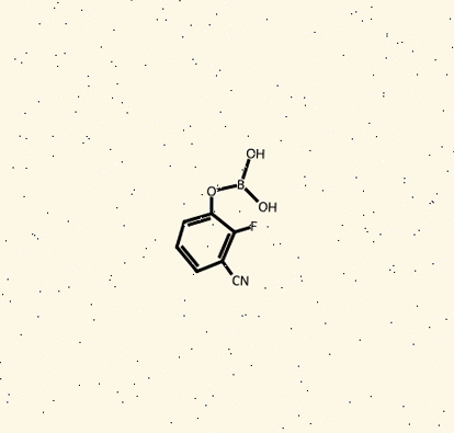 N#Cc1cccc(OB(O)O)c1F